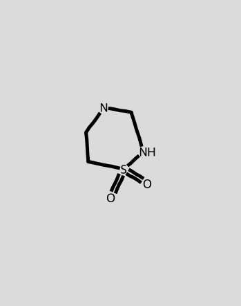 O=S1(=O)CC[N]CN1